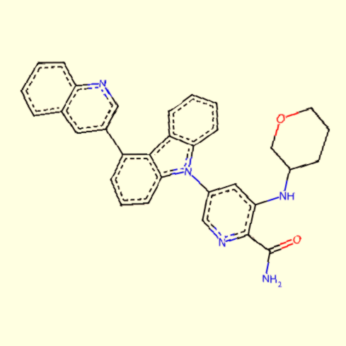 NC(=O)c1ncc(-n2c3ccccc3c3c(-c4cnc5ccccc5c4)cccc32)cc1NC1CCCOC1